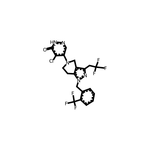 O=c1[nH]ncc(N2CCc3c(c(CC(F)(F)F)nn3Cc3ccccc3C(F)(F)F)C2)c1Cl